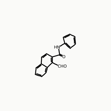 O=Cc1c(C(=O)Nc2ccccc2)ccc2ccccc12